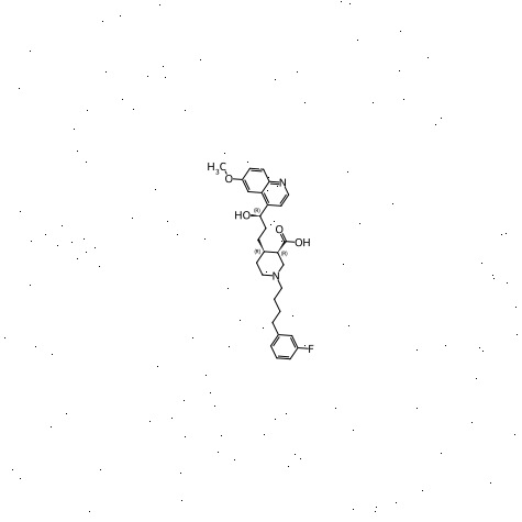 COc1ccc2nccc([C@H](O)CC[C@@H]3CCN(CCCCc4cccc(F)c4)C[C@@H]3C(=O)O)c2c1